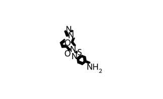 NCc1ccc2nc(N(CCCn3ccnc3)C(=O)c3ccco3)sc2c1